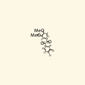 COc1ccc(C(=O)C(=O)c2ccc(C)c(C)c2)cc1OC